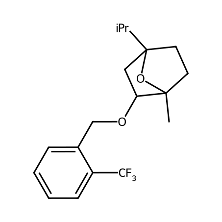 CC(C)C12CCC(C)(O1)C(OCc1ccccc1C(F)(F)F)C2